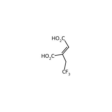 O=C(O)/C=C(/CC(F)(F)F)C(=O)O